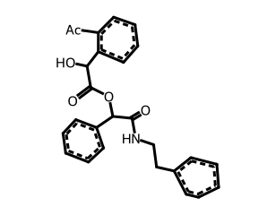 CC(=O)c1ccccc1C(O)C(=O)OC(C(=O)NCCc1ccccc1)c1ccccc1